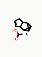 C1=CC2C3C=CC(C3)C2C1.CC(=O)O